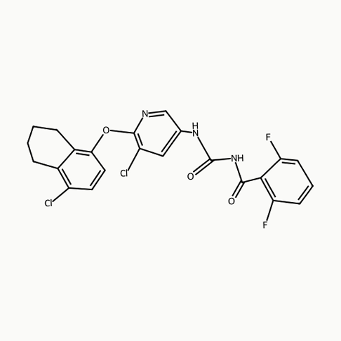 O=C(NC(=O)c1c(F)cccc1F)Nc1cnc(Oc2ccc(Cl)c3c2CCCC3)c(Cl)c1